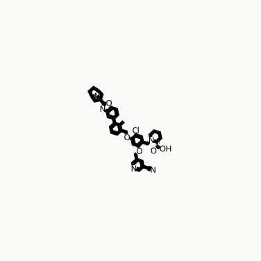 Cc1c(COc2cc(OCc3cncc(C#N)c3)c(CN3CCCC[C@H]3C(=O)O)cc2Cl)cccc1-c1ccc2oc(C3CC4CCC(C3)N4C)nc2c1